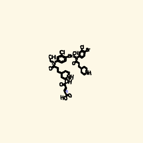 CCN(C(=O)CCC1CCNCC1)c1ccc(Br)c(Cl)c1.CCN(C(=O)CCC1CCNCC1)c1ccc(Br)c(Cl)c1.O=C(O)/C=C/C(=O)O